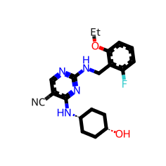 CCOc1cccc(F)c1CNc1ncc(C#N)c(N[C@H]2CC[C@@H](O)CC2)n1